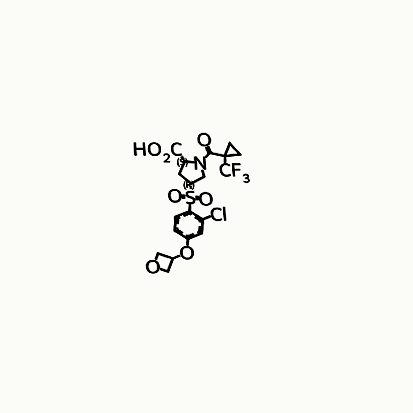 O=C(O)[C@@H]1C[C@@H](S(=O)(=O)c2ccc(OC3COC3)cc2Cl)CN1C(=O)C1(C(F)(F)F)CC1